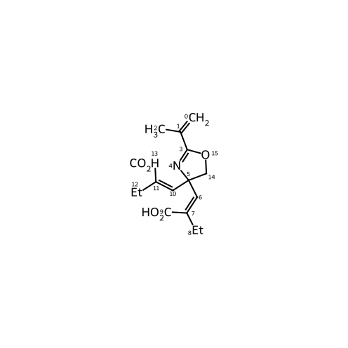 C=C(C)C1=NC(C=C(CC)C(=O)O)(C=C(CC)C(=O)O)CO1